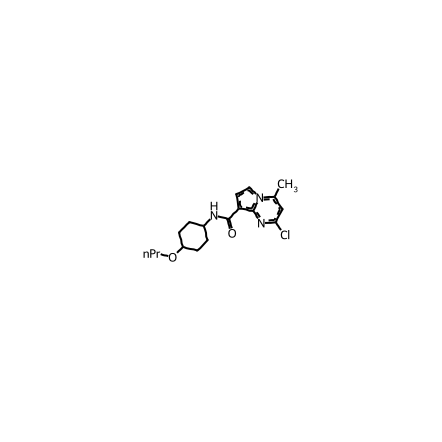 CCCOC1CCC(NC(=O)c2ccn3c(C)cc(Cl)nc23)CC1